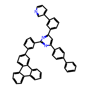 c1ccc(-c2ccc(-c3cc(-c4cccc(-c5cccnc5)c4)nc(-c4cccc(-c5ccc6c7ccccc7c7ccccc7c6c5)c4)n3)cc2)cc1